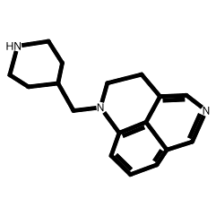 c1cc2c3c(cncc3c1)CCN2CC1CCNCC1